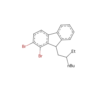 CCCCC(CC)CC1c2ccccc2-c2ccc(Br)c(Br)c21